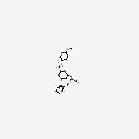 CC(=O)Nc1ccc(S(=O)(=O)Nc2ccc3c(c2)nc(C(C)(C)C)n3CC2C[C@@H]3C=C[C@@H]2C3)cc1